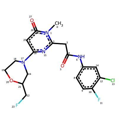 Cn1c(CC(=O)Nc2ccc(F)c(Cl)c2)nc(N2CCOC(CF)C2)cc1=O